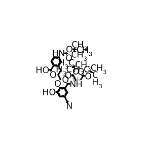 CC(C)(C)OC(=O)C[C@H](NC(=O)c1cc(C#N)cc(O)c1OCCCc1cc(NC(=O)OC(C)(C)C)ccc1C(=O)O)C(=O)OC(C)(C)C